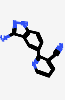 N#Cc1cccnc1-c1ccc2[nH]nc(N)c2c1